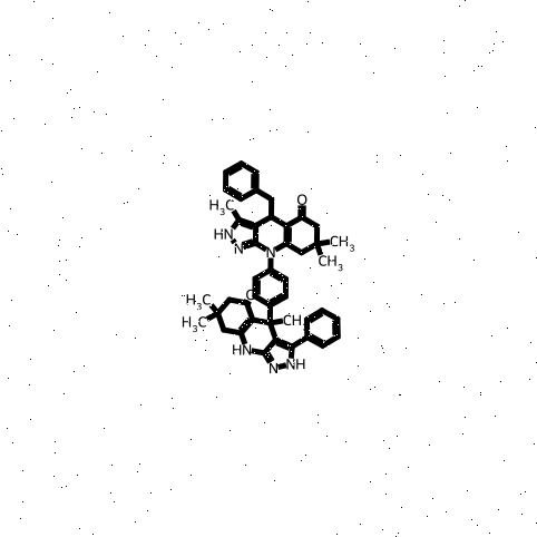 Cc1[nH]nc2c1C(Cc1ccccc1)C1=C(CC(C)(C)CC1=O)N2c1ccc(C2(C)C3=C(CC(C)(C)CC3=O)Nc3n[nH]c(-c4ccccc4)c32)cc1